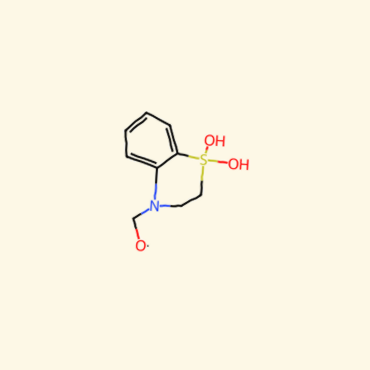 [O]CN1CCS(O)(O)c2ccccc21